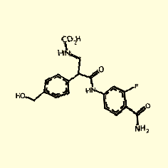 NC(=O)c1ccc(NC(=O)C(CNC(=O)O)c2ccc(CO)cc2)cc1F